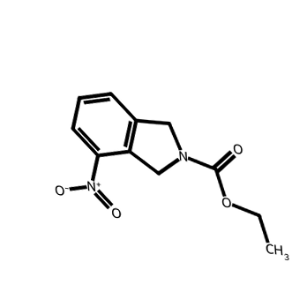 CCOC(=O)N1Cc2cccc([N+](=O)[O-])c2C1